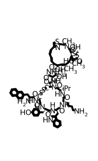 C/C1=C\[C@@H](O)C(=O)/C=C/C=C\c2csc(n2)[C@@H](C)N=C(O)C[C@@]2(CC1)[S+]([O-])SC(=O)[C@]2(C)O.CC(C)[C@@H]1NC(=O)[C@H](CCCCN)NC(=O)[C@@H](Cc2c[nH]c3ccccc23)NC(=O)[C@H](Cc2ccc(O)cc2)NC(=O)[C@@H](NC(=O)[C@H](N)Cc2ccc3ccccc3c2)CSSC[C@@H](C(=O)N[C@H](C(N)=O)[C@@H](C)O)NC1=O